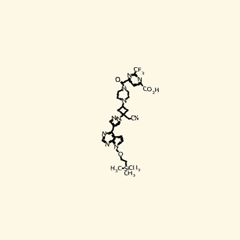 C[Si](C)(C)CCOCn1ccc2c(-c3cnn(C4(CC#N)CC(N5CCN(C(=O)c6cc(C(=O)O)nc(C(F)(F)F)n6)CC5)C4)c3)ncnc21